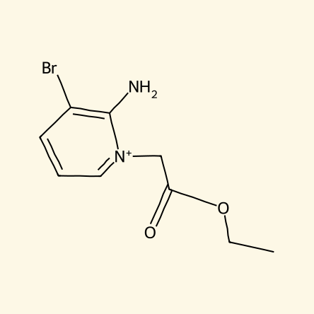 CCOC(=O)C[n+]1cccc(Br)c1N